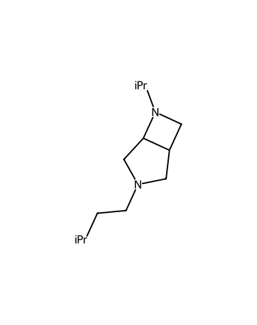 CC(C)CCN1CC2CN(C(C)C)C2C1